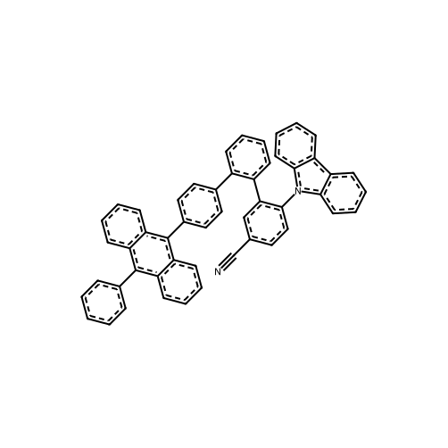 N#Cc1ccc(-n2c3ccccc3c3ccccc32)c(-c2ccccc2-c2ccc(-c3c4ccccc4c(-c4ccccc4)c4ccccc34)cc2)c1